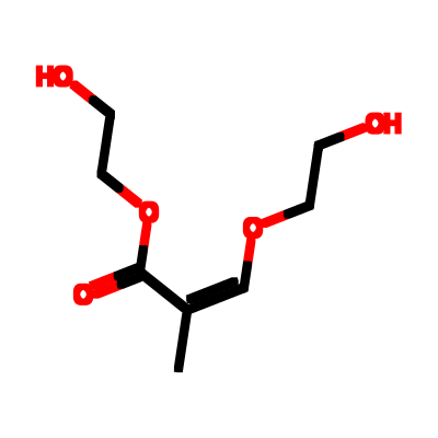 CC(=COCCO)C(=O)OCCO